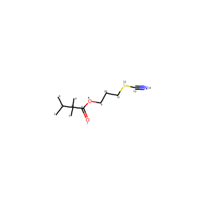 CC(C)C(C)(C)C(=O)OCCCSC#N